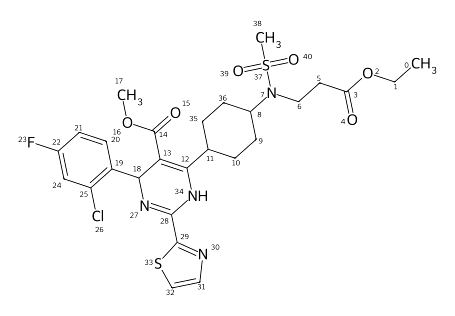 CCOC(=O)CCN(C1CCC(C2=C(C(=O)OC)C(c3ccc(F)cc3Cl)N=C(c3nccs3)N2)CC1)S(C)(=O)=O